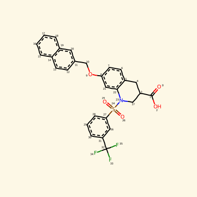 O=C(O)C1Cc2ccc(OCc3ccc4ccccc4c3)cc2N(S(=O)(=O)c2cccc(C(F)(F)F)c2)C1